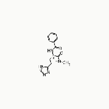 CNC(=O)[C@H](CCc1nnn[nH]1)NC(=O)c1ccccc1